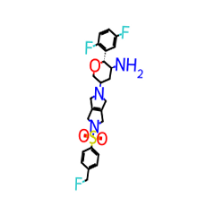 N[C@H]1C[C@@H](N2CC3=C(C2)CN(S(=O)(=O)c2ccc(CF)cc2)C3)CO[C@@H]1c1cc(F)ccc1F